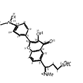 CCCCCCCCCCCCC(NC)c1ccc2oc(-c3ccc(N(CC)CC)cc3)c(O)c(=O)c2c1